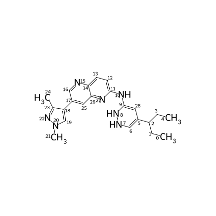 CCC(CC)C1=CNNC(Nc2ccc3ncc(-c4cn(C)nc4C)cc3n2)=C1